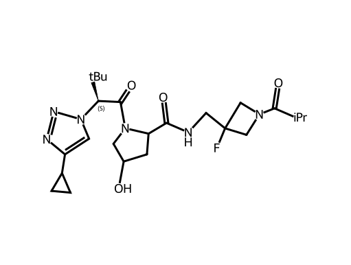 CC(C)C(=O)N1CC(F)(CNC(=O)C2CC(O)CN2C(=O)[C@@H](n2cc(C3CC3)nn2)C(C)(C)C)C1